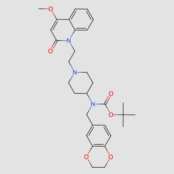 COc1cc(=O)n(CCN2CCC(N(Cc3ccc4c(c3)OCCO4)C(=O)OC(C)(C)C)CC2)c2ccccc12